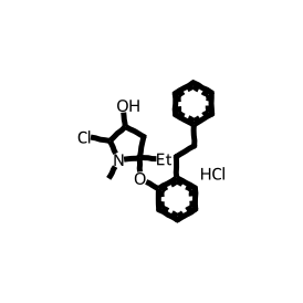 CCC1(Oc2ccccc2CCc2ccccc2)CC(O)C(Cl)N1C.Cl